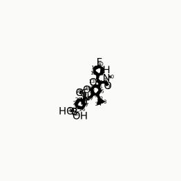 CNC(=O)c1c(-c2ccc(F)cc2)oc2cc(CN(c3ccc(B(O)O)cc3)[SH](=O)=O)c(C3CC3)cc12